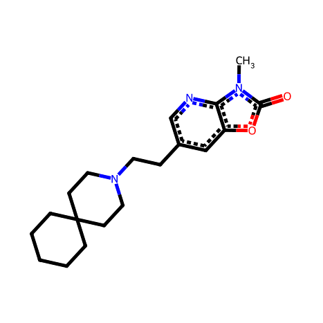 Cn1c(=O)oc2cc(CCN3CCC4(CCCCC4)CC3)cnc21